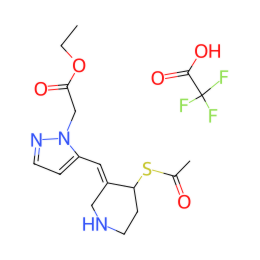 CCOC(=O)Cn1nccc1/C=C1\CNCCC1SC(C)=O.O=C(O)C(F)(F)F